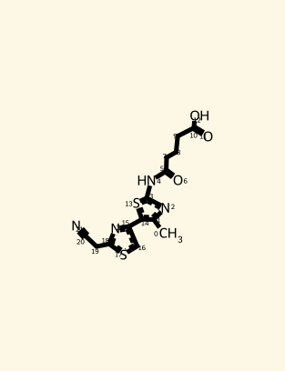 Cc1nc(NC(=O)CCCC(=O)O)sc1-c1csc(CC#N)n1